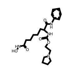 O=C(CCCCCC(NC(=O)OCCN1CCCC1)C(=O)Nc1ccccc1)NO